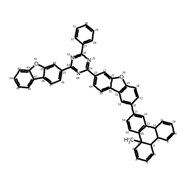 CC12C=CC=CC1C1C=CC=CC1c1cc(-c3ccc4oc5cc(-c6nc(-c7ccccc7)nc(-c7ccc8c(c7)oc7ccccc78)n6)ccc5c4c3)ccc12